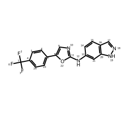 FC(F)(F)c1ccc(-c2cnc(Nc3ccc4cn[nH]c4c3)o2)cc1